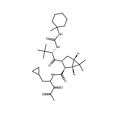 CC(=O)C(=O)C(CC1CC1)NC(=O)[C@@H]1[C@@H]2[C@H](CN1C(=O)[C@@H](NC(=O)NC1(C)CCCCC1)C(C)(C)C)C2(C)C